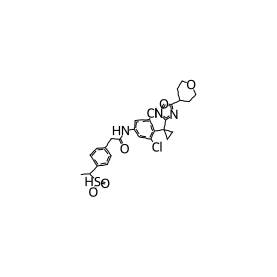 CC(c1ccc(CC(=O)Nc2cc(Cl)c(C3(c4noc(C5CCOCC5)n4)CC3)c(Cl)c2)cc1)[SH](=O)=O